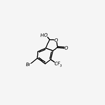 O=C1OC(O)c2cc(Br)cc(C(F)(F)F)c21